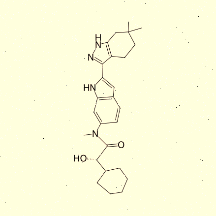 CN(C(=O)[C@@H](O)C1CCCCC1)c1ccc2cc(-c3n[nH]c4c3CCC(C)(C)C4)[nH]c2c1